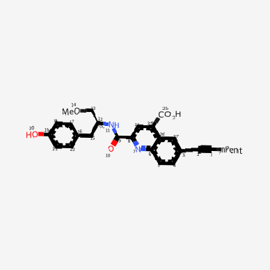 CCCCCC#Cc1ccc2nc(C(=O)N[C@H](COC)Cc3ccc(O)cc3)cc(C(=O)O)c2c1